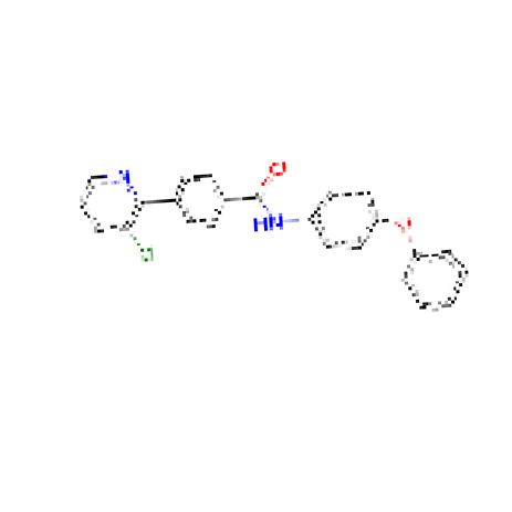 O=C(Nc1ccc(Oc2ccccc2)cc1)c1ccc(-c2ncccc2Cl)cc1